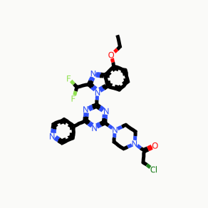 CCOc1cccc2c1nc(C(F)F)n2-c1nc(-c2ccncc2)nc(N2CCN(C(=O)CCl)CC2)n1